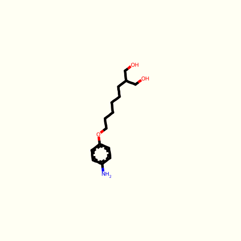 Nc1ccc(OCCCCCCC(CO)CO)cc1